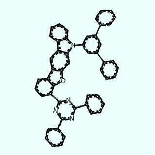 c1ccc(-c2cc(-c3ccccc3)cc(-n3c4ccccc4c4cc5c(cc43)oc3c(-c4nc(-c6ccccc6)nc(-c6ccccc6)n4)cccc35)c2)cc1